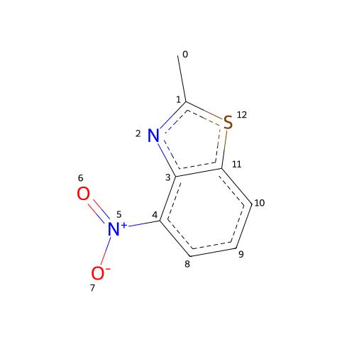 Cc1nc2c([N+](=O)[O-])cccc2s1